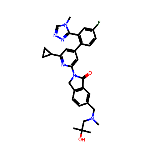 CN(Cc1ccc2c(c1)C(=O)N(c1cc(-c3ccc(F)cc3-c3nncn3C)cc(C3CC3)n1)C2)CC(C)(C)O